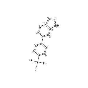 FC(F)(F)c1ncc(-c2ncc3cc[nH]c3n2)cn1